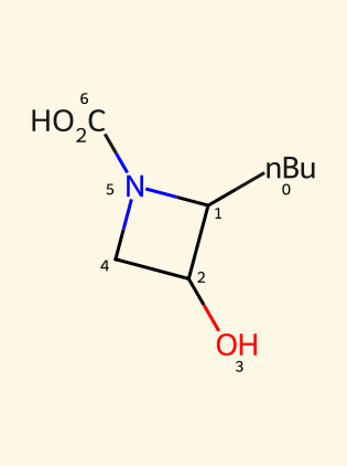 CCCCC1C(O)CN1C(=O)O